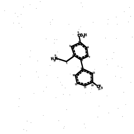 NCc1cc(C(=O)O)ccc1-c1cccc(C(F)(F)F)c1